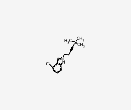 C[Si](C)(C)C#CCCn1cc2c(Cl)cccc2n1